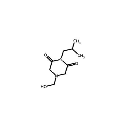 CC(C)CN1C(=O)CN(CO)CC1=O